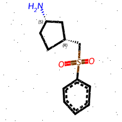 N[C@H]1CC[C@@H](CS(=O)(=O)c2ccccc2)C1